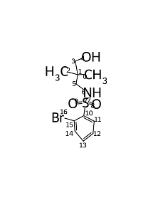 CC(C)(CO)CNS(=O)(=O)c1ccccc1Br